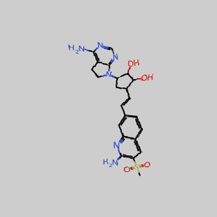 CS(=O)(=O)c1cc2ccc(/C=C/C3CC(N4CCc5c(N)ncnc54)[C@@H](O)C3O)cc2nc1N